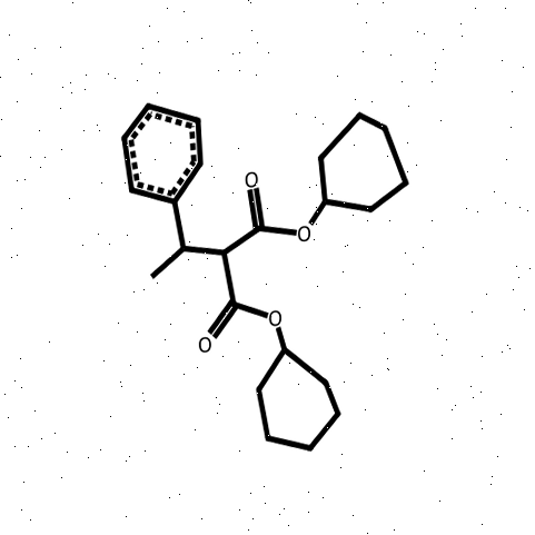 CC(c1ccccc1)C(C(=O)OC1CCCCC1)C(=O)OC1CCCCC1